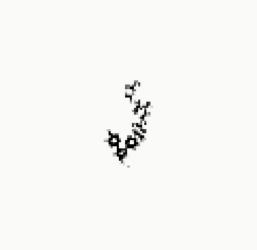 CCC(=O)OC(C)O/N=[N+](\[O-])N(CC)CCOC(=O)NS(=O)(=O)c1ccc(-n2nc(C(F)(F)F)cc2-c2ccc(C)cc2)cc1